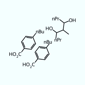 CCCC(O)C(C)C(O)CCC.CCCCc1ccc(C(=O)O)cc1.CCCCc1ccc(C(=O)O)cc1